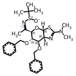 C/C(=N/[S+]([O-])C(C)(C)C)[C@H]1O[C@@H]2SC(N(C)C)=N[C@@H]2[C@@H](OCc2ccccc2)[C@@H]1OCc1ccccc1